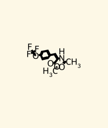 COC(=O)/C(=C\c1ccc(OC(F)(F)F)cc1)NC(C)=O